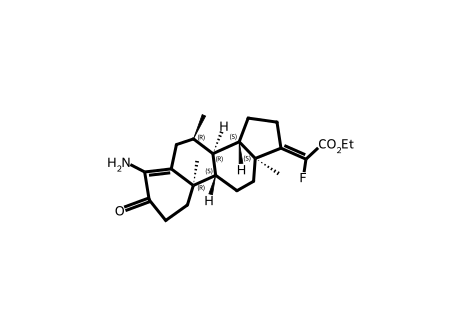 CCOC(=O)C(F)=C1CC[C@H]2[C@@H]3[C@H](C)CC4=C(N)C(=O)CC[C@]4(C)[C@H]3CC[C@]12C